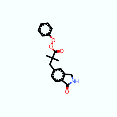 CC(C)(Cc1ccc2c(c1)CNC2=O)C(=O)OOc1ccccc1